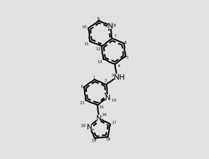 c1cc(Nc2ccc3ncccc3c2)nc(-n2cccn2)c1